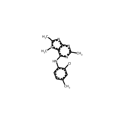 Cc1ccc(Nc2nc(C)nc3nc(C)n(C)c23)c(Cl)c1